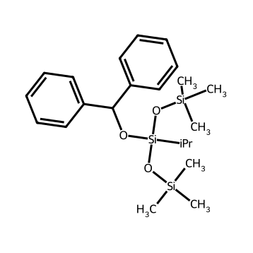 CC(C)[Si](OC(c1ccccc1)c1ccccc1)(O[Si](C)(C)C)O[Si](C)(C)C